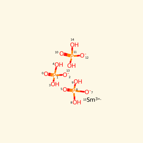 O=P([O-])(O)O.O=P([O-])(O)O.O=P([O-])(O)O.[Sm+3]